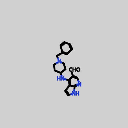 O=Cc1cnc2[nH]ccc2c1NC1CCN(Cc2ccccc2)CC1